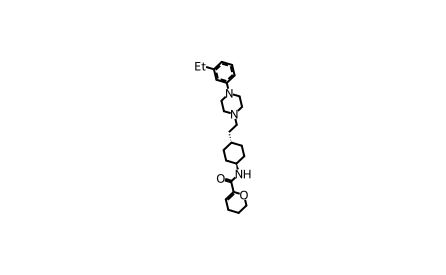 CCc1cccc(N2CCN(CC[C@H]3CC[C@H](NC(=O)C4=CCCCO4)CC3)CC2)c1